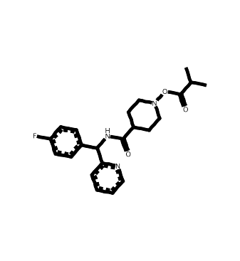 CC(C)C(=O)ON1CCC(C(=O)NC(c2ccc(F)cc2)c2ccccn2)CC1